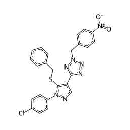 O=[N+]([O-])c1ccc(Cn2nnc(-c3cnn(-c4ccc(Cl)cc4)c3SCc3ccccc3)n2)cc1